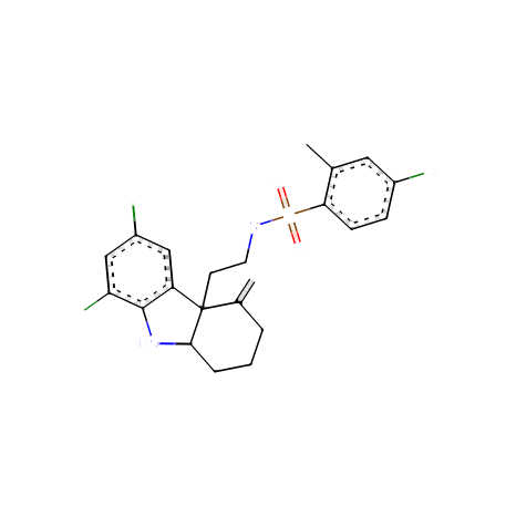 C=C1CCCC2Nc3c(F)cc(Br)cc3C12CCNS(=O)(=O)c1ccc(Br)cc1C